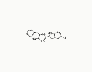 O=C(NC(Cc1ccncc1)C(=O)O)c1cc2cc(Cl)ccc2[nH]1